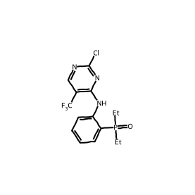 CCP(=O)(CC)c1ccccc1Nc1nc(Cl)ncc1C(F)(F)F